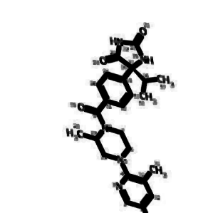 Cc1cnc(N2CCN(C(=O)c3ccc([C@@]4(C(C)C)NC(=O)NC4=O)cc3)C(C)C2)c(C)c1